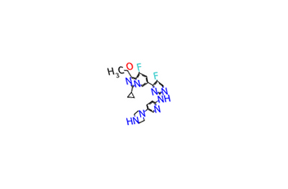 CC(=O)c1nc(C2CC2)n2cc(-c3nc(Nc4ccc(N5CCNCC5)cn4)ncc3F)cc(F)c12